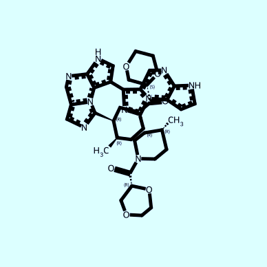 C[C@@H]1CCN(C(=O)[C@H]2COCCO2)C[C@@H]1c1nc(-c2c[nH]c3ncc4cnc([C@H]5CN(C(=O)[C@@H]6COCCO6)CC[C@H]5C)n4c23)c2cnc3[nH]ccc3n12